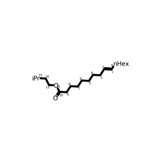 CCCCCCC=CCCCCCCCC(=O)OCCC(C)C